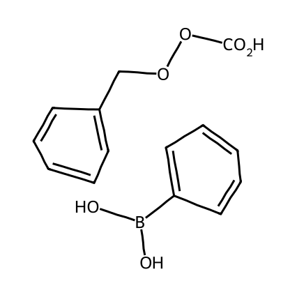 O=C(O)OOCc1ccccc1.OB(O)c1ccccc1